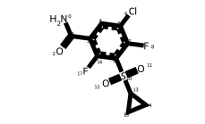 NC(=O)c1cc(Cl)c(F)c(S(=O)(=O)C2CC2)c1F